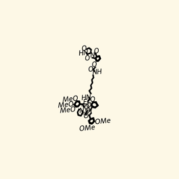 CC[C@H](C(=O)N1CCCC[C@H]1C(=O)O[C@H](CCc1ccc(OC)c(OC)c1)c1ccccc1OCC(=O)NCCCCCCCCNC(=O)COc1cccc2c1CN(C1CCC(=O)NC1=O)C2=O)c1cc(OC)c(OC)c(OC)c1